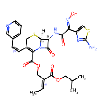 C/C=C(\COC(=O)C1=C(/C=C\c2cccnc2)CS[C@H]2[C@H](NC(=O)C(=NO)c3csc(N)n3)C(=O)N12)C(=O)OCC(C)C